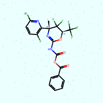 C[C@]1(c2nc(Br)ccc2F)N=C(NC(=O)OC(=O)c2ccccc2)O[C@H](C(F)(F)F)C1(F)F